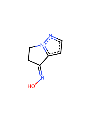 O/N=C1\CCn2nccc21